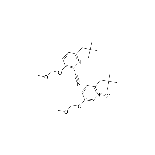 COCOc1ccc(CC(C)(C)C)[n+]([O-])c1.COCOc1ccc(CC(C)(C)C)nc1C#N